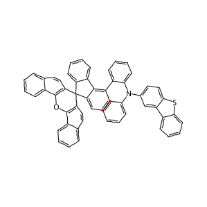 c1ccc(N(c2ccc3sc4ccccc4c3c2)c2ccccc2-c2cccc3c2-c2ccccc2C32c3ccc4ccccc4c3Oc3c2ccc2ccccc32)cc1